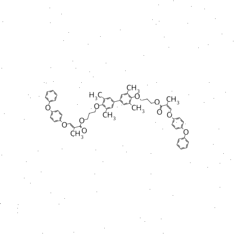 CC(=COc1ccc(Oc2ccccc2)cc1)C(=O)OCCCOc1c(C)cc(-c2cc(C)c(OCCCOC(=O)C(C)=COc3ccc(Oc4ccccc4)cc3)c(C)c2)cc1C